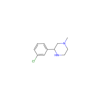 CN1CCNC(c2cccc(Cl)c2)C1